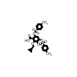 Cc1ccc(S(=O)(=O)Oc2cc(OS(=O)(=O)c3ccc(C)cc3)c(C(=O)O)c(OCC3CC3)c2C)cc1